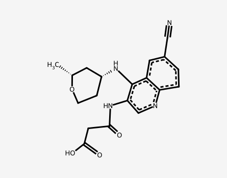 C[C@@H]1C[C@H](Nc2c(NC(=O)CC(=O)O)cnc3ccc(C#N)cc23)CCO1